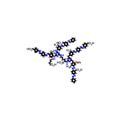 CCCOc1cc(N=Nc2ccc(N=Nc3ccccc3)cc2S(=O)(=O)O)c(C)cc1Cc1nc(Cc2ccc(N=Nc3ccc(N=Nc4ccc(S(=O)(=O)O)cc4)cc3)c(C)c2)nc(NC(CCCCNc2nc(Nc3ccc(N=Nc4ccc(N=Nc5ccccc5)cc4S(=O)(=O)O)c(C)c3)nc(Nc3cc(C)c(N=Nc4ccc(N=Nc5ccc(S(=O)(=O)O)cc5)cc4)cc3OCCCS(=O)(=O)O)n2)C(=O)O)n1